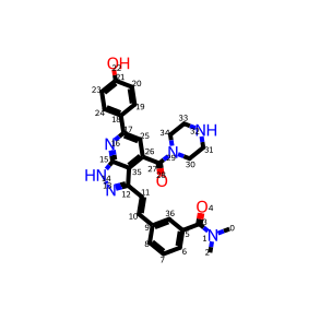 CN(C)C(=O)c1cccc(/C=C/c2n[nH]c3nc(-c4ccc(O)cc4)cc(C(=O)N4CCNCC4)c23)c1